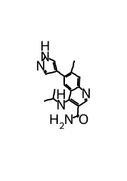 Cc1cc2ncc(C(N)=O)c(NC(C)C)c2cc1-c1cn[nH]c1